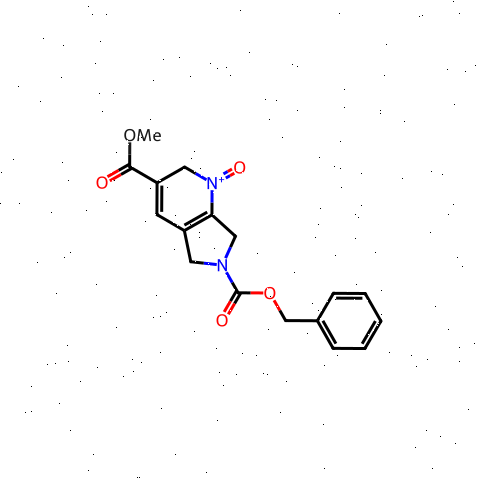 COC(=O)C1=CC2=C(CN(C(=O)OCc3ccccc3)C2)[N+](=O)C1